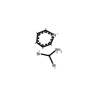 BC(Br)Br.c1ccncc1